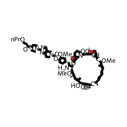 CCCOCCC(=O)N1CCN(c2ncc3c(n2)CCN(C(=O)O[C@@H]2CC[C@@H](C[C@@H](N)[C@@H]4C[C@@H](OC)[C@H](C)/C=C(\C)[C@@H](O)[C@@H](O)C(=O)[C@H](C)C[C@H](C)/C=C/C=C/C=C(\C)[C@@H](OC)C[C@@H]5CC[C@@H](C)[C@@](O)(O5)C(=O)C(=O)N5CCCC[C@H]5C(=O)O4)C[C@H]2OC)C3)CC1